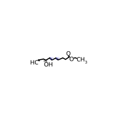 C#CC[C@@H](O)/C=C/C=C/CCC(=O)OCC